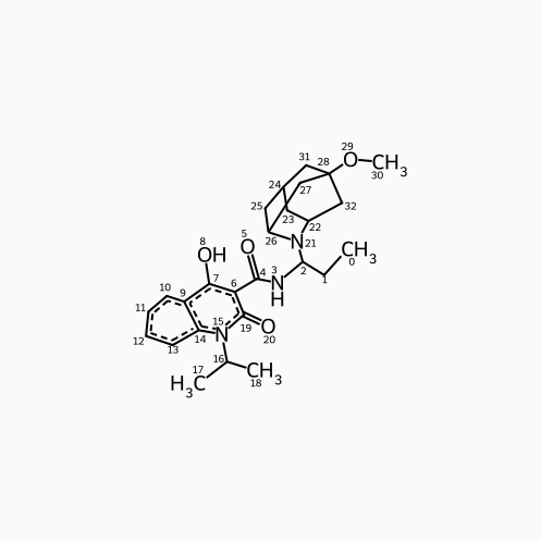 CCC(NC(=O)c1c(O)c2ccccc2n(C(C)C)c1=O)N1C2CC3CC1CC(OC)(C3)C2